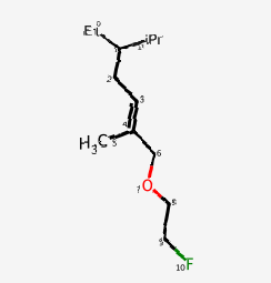 CCC(C/C=C(\C)COCCF)C(C)C